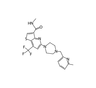 CNC(=O)c1csc2c(C(F)(F)F)cc(N3CCN(Cc4cccc(C)n4)CC3)nc12